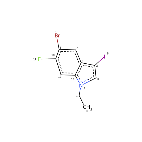 CCn1cc(I)c2cc(Br)c(F)cc21